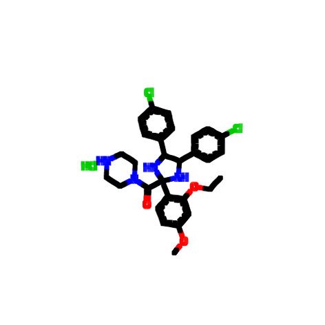 CCOc1cc(OC)ccc1C1(C(=O)N2CCNCC2)NC(c2ccc(Cl)cc2)C(c2ccc(Cl)cc2)N1.Cl